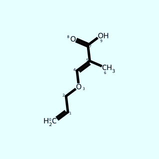 C=CCO/C=C(\C)C(=O)O